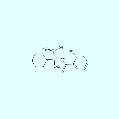 C[C@@H](O)[C@](C=O)(NC(=O)c1ccccc1O)N1CCOCC1